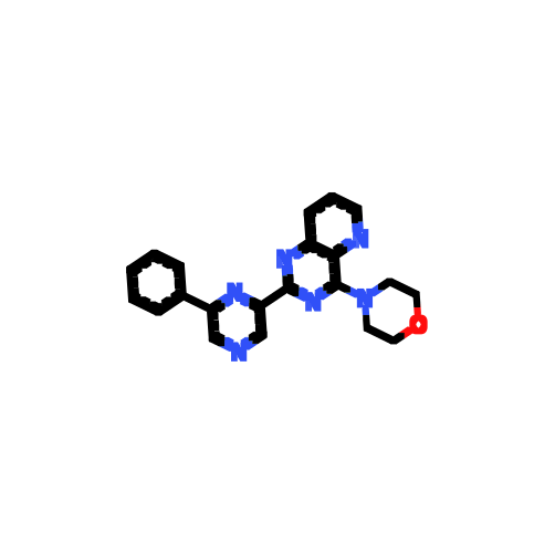 c1ccc(-c2cncc(-c3nc(N4CCOCC4)c4ncccc4n3)n2)cc1